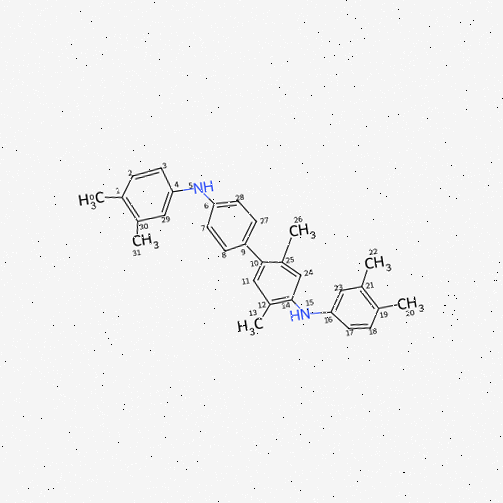 Cc1ccc(Nc2ccc(-c3cc(C)c(Nc4ccc(C)c(C)c4)cc3C)cc2)cc1C